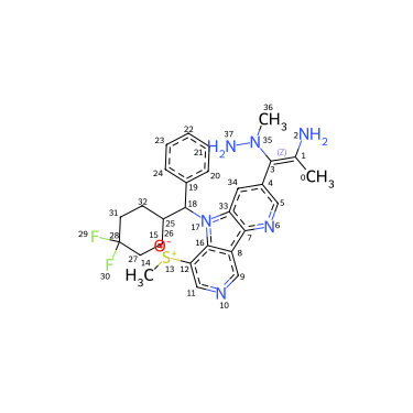 C/C(N)=C(\c1cnc2c3cncc([S+](C)[O-])c3n(C(c3ccccc3)C3CCC(F)(F)CC3)c2c1)N(C)N